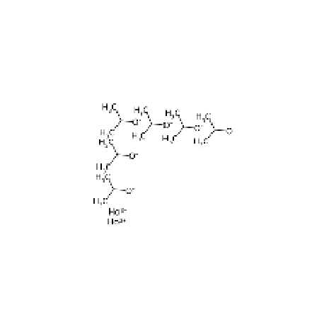 CC(C)[O-].CC(C)[O-].CC(C)[O-].CC(C)[O-].CC(C)[O-].CC(C)[O-].[Ho+3].[Ho+3]